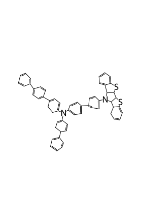 C1=CCC2C(=C1)SC1C3Sc4ccccc4C3N(c3ccc(-c4ccc(N(C5=CCC(c6ccccc6)C=C5)C5=CC=C(c6ccc(-c7ccccc7)cc6)CC5)cc4)cc3)C21